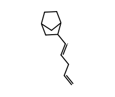 C=CC/C=[C]/C1CC2CCC1C2